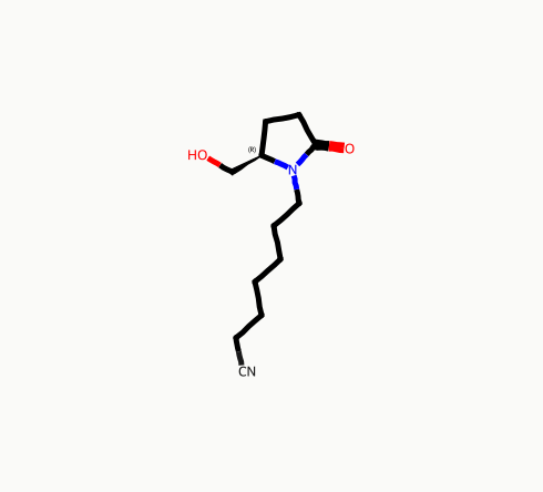 N#CCCCCCCN1C(=O)CC[C@@H]1CO